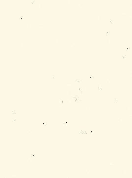 CC1C2(C)CC3C(C2)S(=O)(=O)OC31C